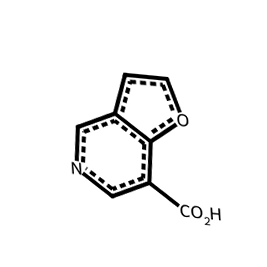 O=C(O)c1cncc2ccoc12